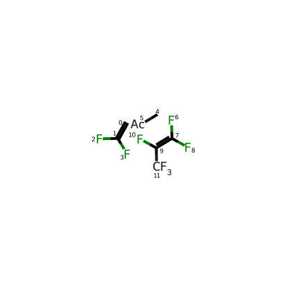 C=C(F)F.CC(C)=O.FC(F)=C(F)C(F)(F)F